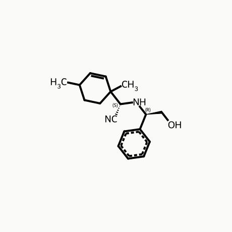 CC1C=CC(C)([C@@H](C#N)N[C@@H](CO)c2ccccc2)CC1